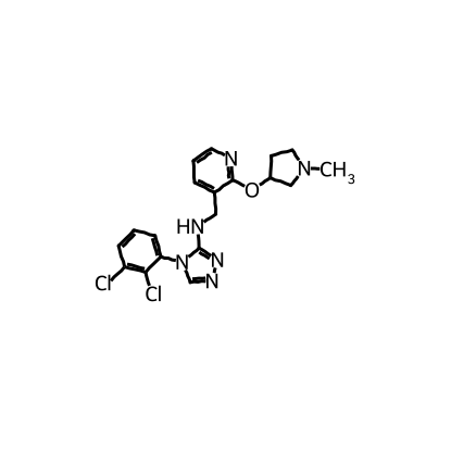 CN1CCC(Oc2ncccc2CNc2nncn2-c2cccc(Cl)c2Cl)C1